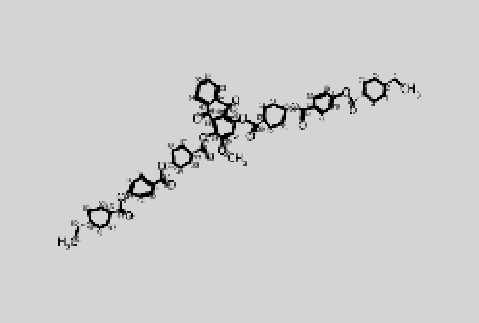 CC[C@H]1CC[C@H](C(=O)Oc2ccc(C(=O)O[C@H]3CC[C@H](C(=O)Oc4cc(OC)c(OC(=O)[C@H]5CC[C@H](OC(=O)c6ccc(OC(=O)[C@H]7CC[C@H](CC)CC7)cc6)CC5)c5c4C(=O)c4ccccc4C5=O)CC3)cc2)CC1